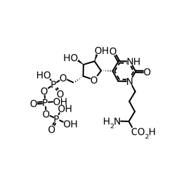 NC(CCCn1cc([C@@H]2O[C@H](COP(=O)(O)OP(=O)(O)OP(=O)(O)O)[C@@H](O)[C@H]2O)c(=O)[nH]c1=O)C(=O)O